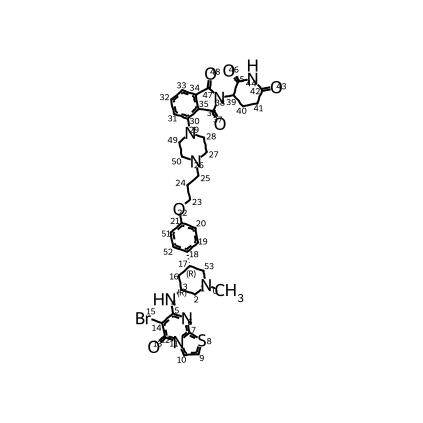 CN1C[C@H](Nc2nc3sccn3c(=O)c2Br)C[C@H](c2ccc(OCCCN3CCN(c4cccc5c4C(=O)N(C4CCC(=O)NC4=O)C5=O)CC3)cc2)C1